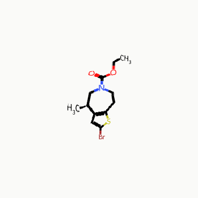 CCOC(=O)N1CCc2sc(Br)cc2[C@@H](C)C1